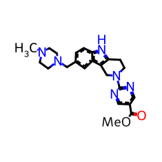 COC(=O)c1cnc(N2CCc3[nH]c4ccc(CN5CCN(C)CC5)cc4c3C2)nc1